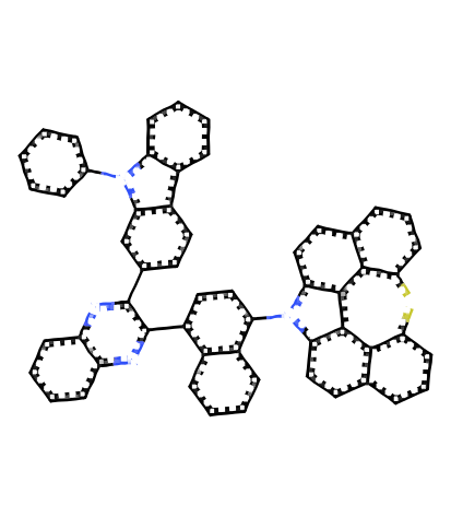 c1ccc(-n2c3ccccc3c3ccc(-c4nc5ccccc5nc4-c4ccc(-n5c6ccc7cccc8sc9cccc%10ccc5c(c%109)c6c78)c5ccccc45)cc32)cc1